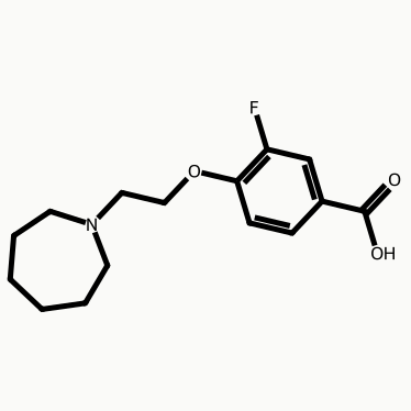 O=C(O)c1ccc(OCCN2CCCCCC2)c(F)c1